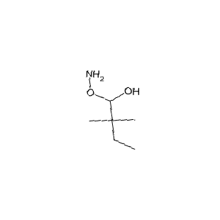 CCC(C)(C)C(O)ON